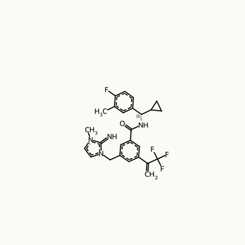 C=C(c1cc(Cn2ccn(C)c2=N)cc(C(=O)N[C@H](c2ccc(F)c(C)c2)C2CC2)c1)C(F)(F)F